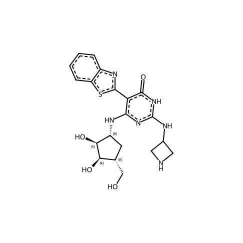 O=c1[nH]c(NC2CNC2)nc(N[C@@H]2C[C@H](CO)[C@@H](O)[C@H]2O)c1-c1nc2ccccc2s1